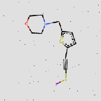 ISC#Cc1ccc(CN2CCOCC2)s1